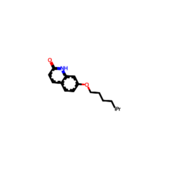 CC(C)CCCCOc1ccc2ccc(=O)[nH]c2c1